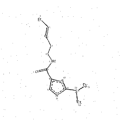 CC/C=C/CCNC(=O)c1cnc([S+]([O-])CC)s1